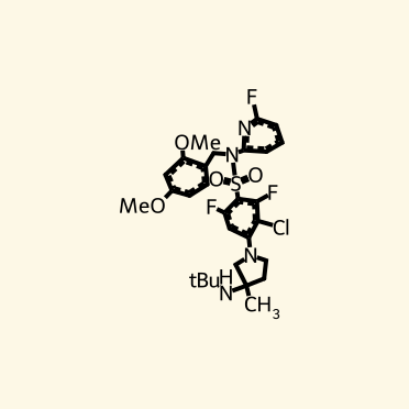 COc1ccc(CN(c2cccc(F)n2)S(=O)(=O)c2c(F)cc(N3CCC(C)(NC(C)(C)C)C3)c(Cl)c2F)c(OC)c1